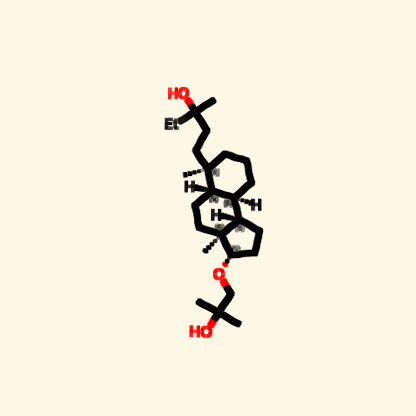 CCC(C)(O)CC[C@@]1(C)CCC[C@@H]2[C@@H]1CC[C@]1(C)[C@@H](OCC(C)(C)O)CC[C@@H]21